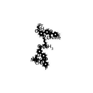 CNC(=O)c1c(-c2ccc(F)cc2)oc2ccc(-c3cc(C(=O)NCC(C)C)ccc3OCCCCC(C)CNC(=O)c3ccc(OCc4cn(C)cn4)c(-c4ccc5oc(-c6ccc(F)cc6)c(C(=O)NC)c5c4)c3)cc12